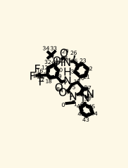 CCN1C(=O)[C@@H](NC(=O)c2cccc(C(F)(F)F)c2)[C@H](c2cccc([C@H](C)NC(=O)OC(C)(C)C)c2)c2cnn(-c3ccccc3)c21